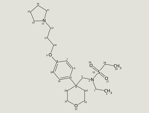 CCN(CC1(c2ccc(OCCCN3CCCC3)cc2)CCOCC1)S(=O)(=O)CC